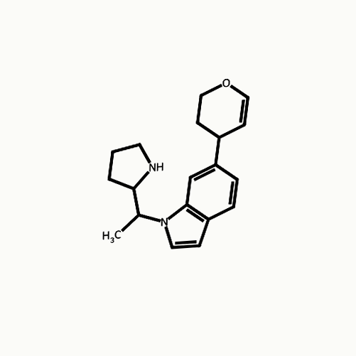 CC(C1CCCN1)n1ccc2ccc(C3C=COCC3)cc21